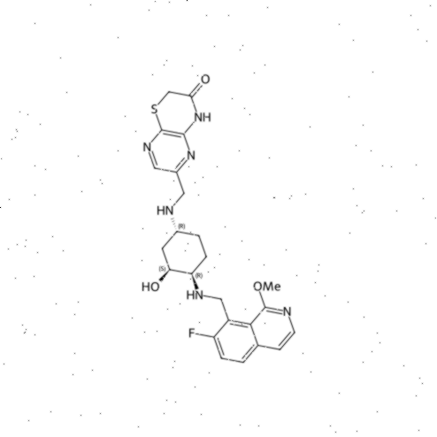 COc1nccc2ccc(F)c(CN[C@@H]3CC[C@@H](NCc4cnc5c(n4)NC(=O)CS5)C[C@@H]3O)c12